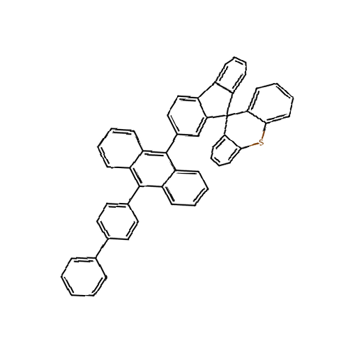 c1ccc(-c2ccc(-c3c4ccccc4c(-c4ccc5c(c4)C4(c6ccccc6Sc6ccccc64)c4ccccc4-5)c4ccccc34)cc2)cc1